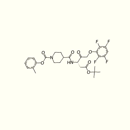 Cc1ccccc1OC(=O)N1CCC(C(=O)N[C@@H](CC(=O)OC(C)(C)C)C(=O)COc2c(F)c(F)cc(F)c2F)CC1